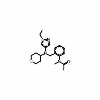 CCn1cc(N(Cc2ccccc2N(C)C(C)=O)C2CCOCC2)cn1